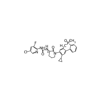 CP(C)(=O)c1ccccc1-c1ccc(N2CCC[C@@H](NC(=O)Nc3ncc(Cl)cc3F)C2=O)c(C2CC2)c1